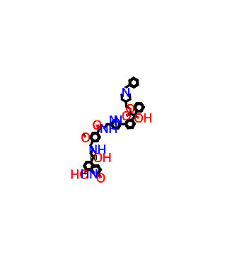 COc1cc(C(=O)NCc2ccc(-c3cccc(C(O)(C(=O)OCC4CCN(Cc5ccccc5)CC4)c4ccccc4)c3)nn2)ccc1CNC[C@H](O)c1ccc(O)c2[nH]c(=O)ccc12